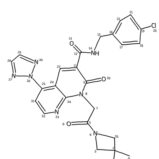 CC1(C)CN(C(=O)Cn2c(=O)c(C(=O)NCc3ccc(Cl)cc3)cc3c(-n4nccn4)ccnc32)C1